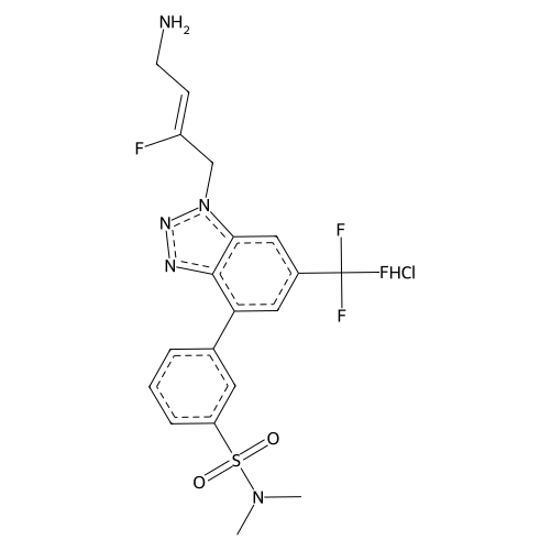 CN(C)S(=O)(=O)c1cccc(-c2cc(C(F)(F)F)cc3c2nnn3C/C(F)=C/CN)c1.Cl